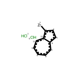 Cl.Cl.[Zr][c]1ccc2cccccc1-2